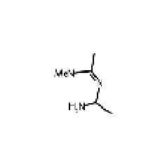 CN/C(C)=N\C(C)N